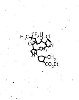 CCOC(=O)[C@H]1CC[C@H](n2ncc(C(=O)N(CC(O)c3c(Cl)cncc3Cl)CC(C)(C)C(F)(F)F)c2C)C[C@@H]1C